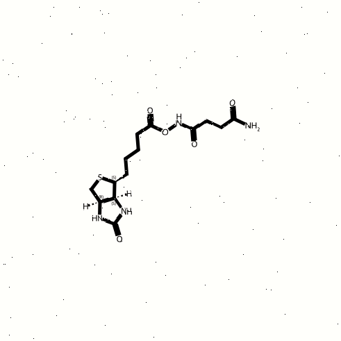 NC(=O)CCC(=O)NOC(=O)CCCC[C@@H]1SC[C@@H]2NC(=O)N[C@@H]21